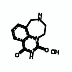 Cl.O=c1[nH]c(=O)n2c3c(cccc13)CNCC2